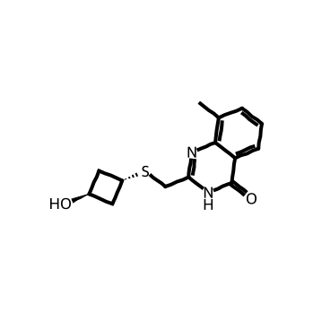 Cc1cccc2c(=O)[nH]c(CS[C@H]3C[C@H](O)C3)nc12